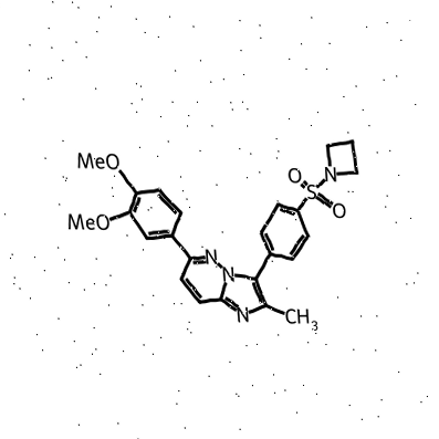 COc1ccc(-c2ccc3nc(C)c(-c4ccc(S(=O)(=O)N5CCC5)cc4)n3n2)cc1OC